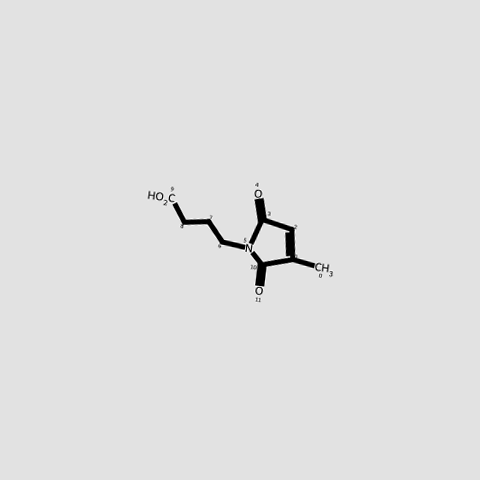 CC1=CC(=O)N(CCCC(=O)O)C1=O